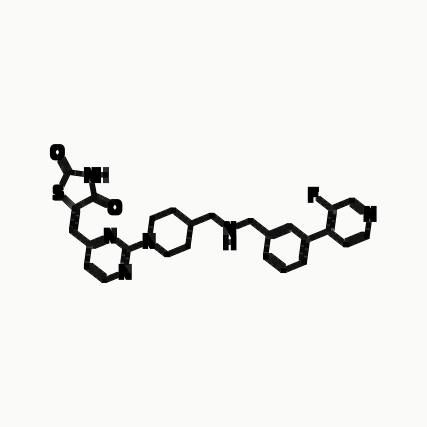 O=C1NC(=O)/C(=C\c2ccnc(N3CCC(CNCc4cccc(-c5ccncc5F)c4)CC3)n2)S1